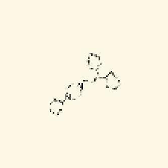 [c]1ccc(N2CCN(CC=C(c3ccccc3)c3ccccc3)CC2)cc1